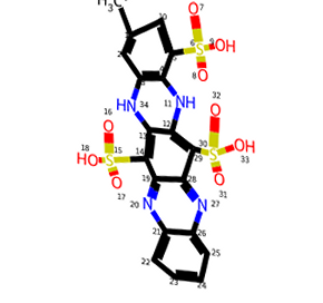 Cc1cc2c(c(S(=O)(=O)O)c1)Nc1c(c(S(=O)(=O)O)c3nc4ccccc4nc3c1S(=O)(=O)O)N2